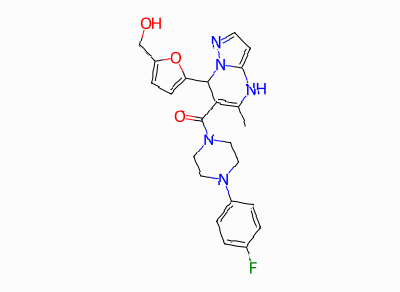 CC1=C(C(=O)N2CCN(c3ccc(F)cc3)CC2)C(c2ccc(CO)o2)n2nccc2N1